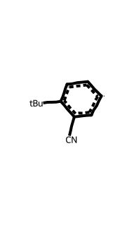 CC(C)(C)c1cc[c]cc1C#N